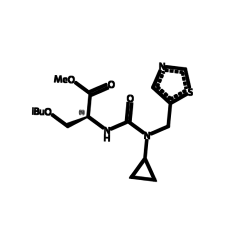 COC(=O)[C@H](COCC(C)C)NC(=O)N(Cc1cncs1)C1CC1